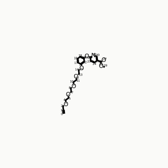 C#CCOCCOCCOCCOCCOc1cccc(Oc2ccc(C(=O)OC)cn2)c1